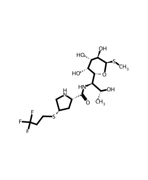 CS[C@H]1O[C@H]([C@H](NC(=O)[C@@H]2C[C@H](SCCC(F)(F)F)CN2)[C@@H](C)O)[C@H](O)[C@H](O)[C@H]1O